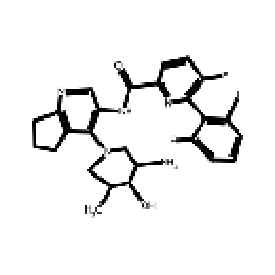 CC1CN(c2c(NC(=O)c3ccc(F)c(-c4c(F)cccc4F)n3)cnc3c2CCC3)CC(N)C1O